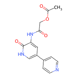 CC(=O)OCC(=O)Nc1cc(-c2ccncc2)c[nH]c1=O